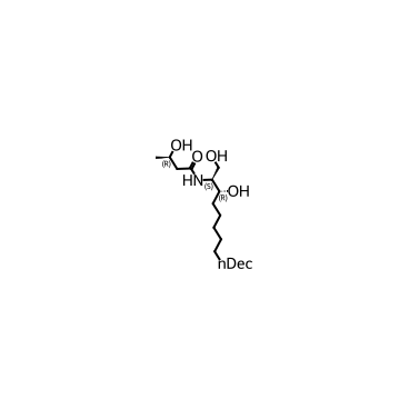 CCCCCCCCCCCCCCC[C@@H](O)[C@H](CO)NC(=O)C[C@@H](C)O